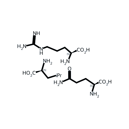 CC(C)C[C@H](N)C(=O)O.N=C(N)NCCC[C@H](N)C(=O)O.NC(=O)CC[C@H](N)C(=O)O